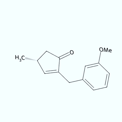 COc1cccc(CC2=C[C@H](C)CC2=O)c1